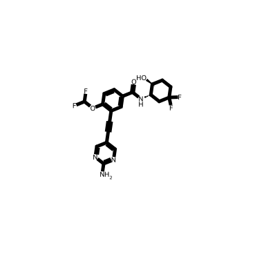 Nc1ncc(C#Cc2cc(C(=O)N[C@H]3CC(F)(F)CC[C@@H]3O)ccc2OC(F)F)cn1